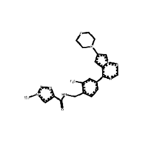 CC(C)(C)n1cc(C(=O)NCc2ccc(-c3ncnn4cc(N5CCOCC5)cc34)cc2C(F)(F)F)nn1